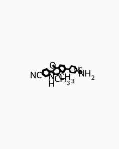 CC1(C)c2cc(C3CCN(SN)CC3)ccc2C(=O)c2c1[nH]c1cc(C#N)ccc21